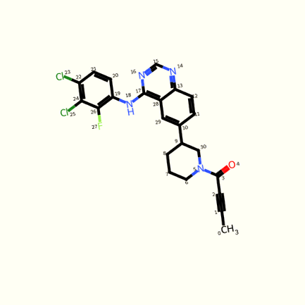 CC#CC(=O)N1CCCC(c2ccc3ncnc(Nc4ccc(Cl)c(Cl)c4F)c3c2)C1